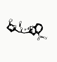 O=COC(Cc1cc2c([N+](=O)[O-])cccc2[nH]1)Cc1ccc(Cl)s1